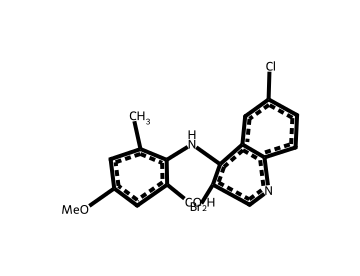 COc1cc(C)c(Nc2c(Br)cnc3ccc(Cl)cc23)c(C(=O)O)c1